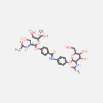 CC(=O)NC1C(Oc2ccc(NC(=O)c3ccc(OC(OC(CO)[C@H](C)O)[C@H](CO)NC(C)=O)cc3)cc2)OC(CO)C(O)C1O